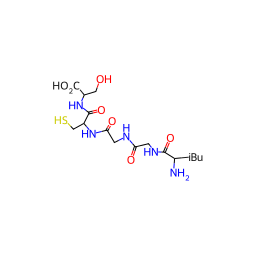 CCC(C)C(N)C(=O)NCC(=O)NCC(=O)NC(CS)C(=O)NC(CO)C(=O)O